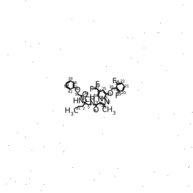 CCCC(C)(CNC(=O)c1c(C)nc2c(OCc3c(F)cccc3F)cc(C(F)F)cn12)NC(=O)COc1ccccc1